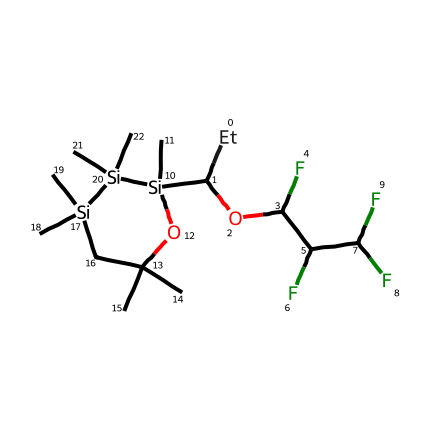 CCC(OC(F)C(F)C(F)F)[Si]1(C)OC(C)(C)C[Si](C)(C)[Si]1(C)C